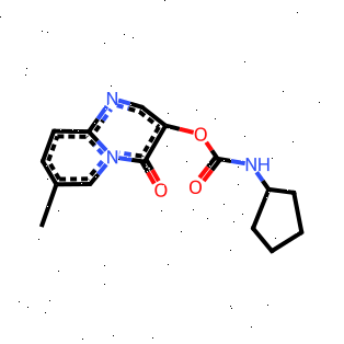 Cc1ccc2ncc(OC(=O)NC3CCCC3)c(=O)n2c1